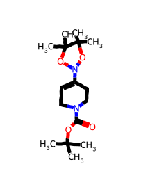 CC(C)(C)OC(=O)N1CC=C(N2OC(C)(C)C(C)(C)O2)CC1